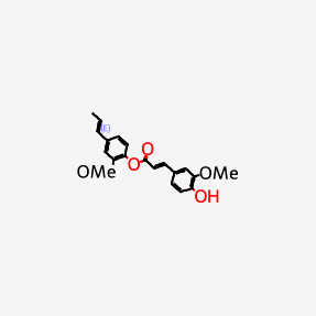 C/C=C/c1ccc(OC(=O)C=Cc2ccc(O)c(OC)c2)c(OC)c1